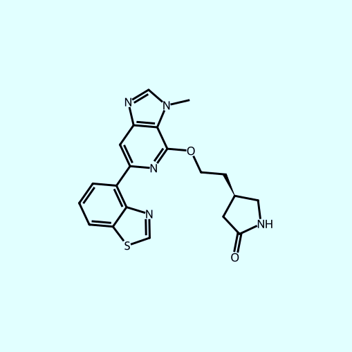 Cn1cnc2cc(-c3cccc4scnc34)nc(OCC[C@H]3CNC(=O)C3)c21